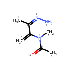 C=C(/C(C)=N\N)N(C)C(C)=O